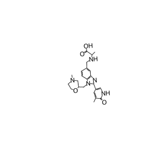 Cc1cc(-c2nc3cc(CNC(C)C(=O)O)ccc3n2CC2CN(C)CCO2)c[nH]c1=O